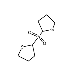 O=S(=O)(C1CCCS1)C1CCCS1